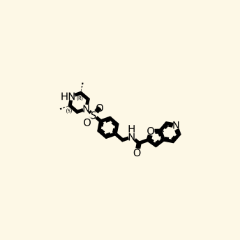 C[C@@H]1CN(S(=O)(=O)c2ccc(CNC(=O)c3cc4ccncc4o3)cc2)C[C@H](C)N1